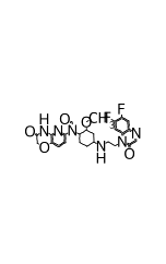 COC1CC(NCCn2c(=O)cnc3cc(F)c(F)cc32)CCC1N(C=O)c1ccc2c(n1)NC(=O)CO2